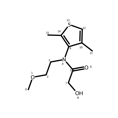 COCCN(C(=O)CO)c1c(C)csc1C